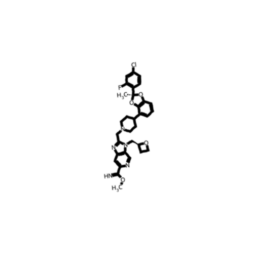 COC(=N)c1cc2nc(CN3CCC(c4cccc5c4O[C@@](C)(c4ccc(Cl)cc4F)O5)CC3)n(C[C@@H]3CCO3)c2cn1